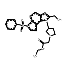 O=C(CN1CCC(n2c(CO)nc3cnc4c(ccn4S(=O)(=O)c4ccccc4)c32)C1)NCC(F)(F)F